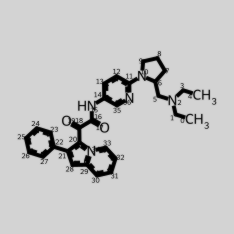 CCN(CC)CC1CCCN1c1ccc(NC(=O)C(=O)c2c(-c3ccccc3)cc3ccccn23)cn1